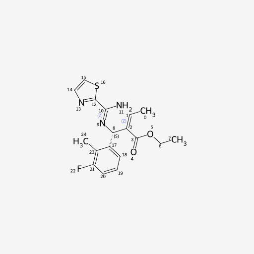 C/C=C(\C(=O)OCC)[C@@H](/N=C(\N)c1nccs1)c1cccc(F)c1C